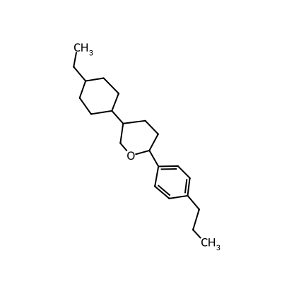 CCCc1ccc(C2CCC(C3CCC(CC)CC3)CO2)cc1